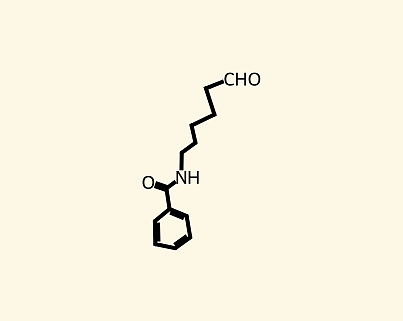 O=CCCCCCNC(=O)c1ccccc1